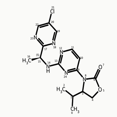 CC(C)C1COC(=O)N1c1ccnc(N[C@@H](C)c2ncc(Cl)cn2)n1